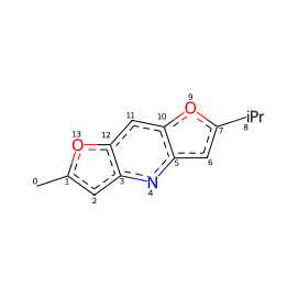 Cc1cc2nc3cc(C(C)C)oc3cc2o1